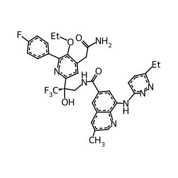 CCOc1c(CC(N)=O)cc([C@@](O)(CNC(=O)c2cc(Nc3ccc(CC)nn3)c3ncc(C)cc3c2)C(F)(F)F)nc1-c1ccc(F)cc1